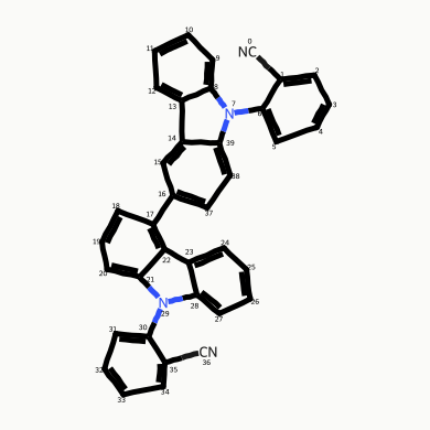 N#Cc1ccccc1-n1c2ccccc2c2cc(-c3cccc4c3c3ccccc3n4-c3ccccc3C#N)ccc21